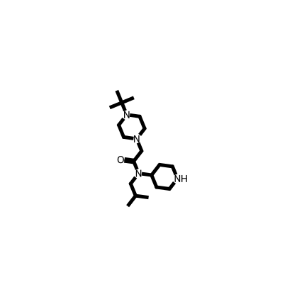 CC(C)CN(C(=O)CN1CCN(C(C)(C)C)CC1)C1CCNCC1